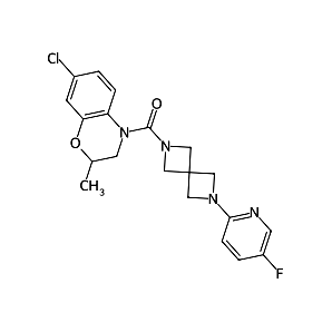 CC1CN(C(=O)N2CC3(C2)CN(c2ccc(F)cn2)C3)c2ccc(Cl)cc2O1